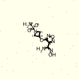 N/C(=N\O)c1nonc1OC1CN(S(N)(=O)=O)C1